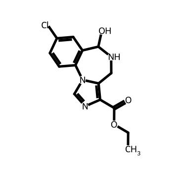 CCOC(=O)c1ncn2c1CNC(O)c1cc(Cl)ccc1-2